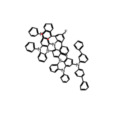 Fc1cc(-c2ccccc2)c(N2c3cc4c(cc3B3c5ccccc5N(c5ccccc5)c5cc(N(c6ccccc6)c6ccccc6)cc2c53)B2c3ccccc3N(c3ccccc3)c3cc(N(c5ccc(-c6ccccc6)cc5)c5cccc(-c6ccccc6)c5)cc(c32)S4)c(-c2ccccc2)c1